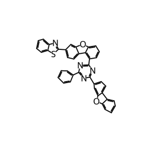 c1ccc(-c2nc(-c3ccc4c(c3)oc3ccccc34)nc(-c3cccc4oc5cc(-c6nc7ccccc7s6)ccc5c34)n2)cc1